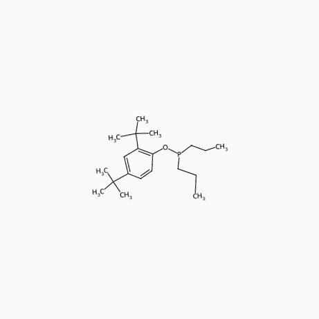 CCCP(CCC)Oc1ccc(C(C)(C)C)cc1C(C)(C)C